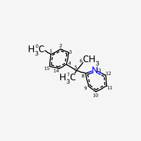 Cc1ccc(C(C)(C)c2ccccn2)cc1